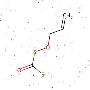 C=CCOSC(=O)[S]